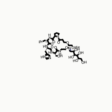 COCCOCCC(=O)N1CCCC1C(=O)N[C@@H](CC(C)C)C(=O)N[C@@H](Cc1cnc[nH]1)C(=O)N[C@@H](CO)C(=O)NCCO/N=C/C(O)C(O)C(O)C(O)CO